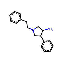 NC1CN(CCc2ccccc2)CC1c1ccccc1